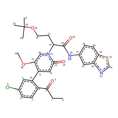 CCC(=O)c1ccc(Cl)cc1-c1cc(=O)n(C(CCOC(C)(C)C)C(=O)Nc2ccc3scnc3c2)cc1OC